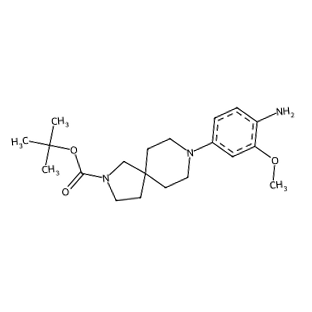 COc1cc(N2CCC3(CCN(C(=O)OC(C)(C)C)C3)CC2)ccc1N